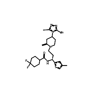 C=C1CC(n2c(C)nnc2C(C)C)CCN1CC[C@H](NC(=O)C1CCC(F)(F)CC1)c1cc(C)cs1